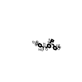 CCS(=O)(=O)c1ccc([C@H](CO)NC(=O)c2ccc3c(c2)nc(C2(F)CCC2)n3Cc2cccc3c2OC(F)(F)O3)cc1